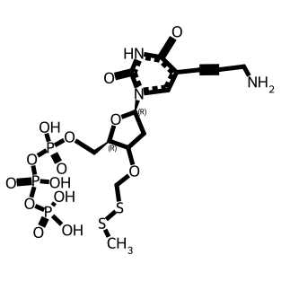 CSSCOC1C[C@H](n2cc(C#CCN)c(=O)[nH]c2=O)O[C@@H]1COP(=O)(O)OP(=O)(O)OP(=O)(O)O